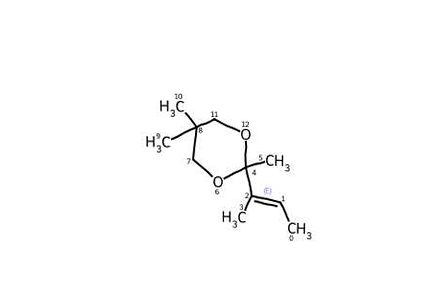 C/C=C(\C)C1(C)OCC(C)(C)CO1